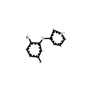 [CH2]c1ccc(Br)c(Oc2cccnc2)c1